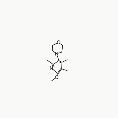 COc1nc(C)c(N2CCOCC2)c(C)c1C